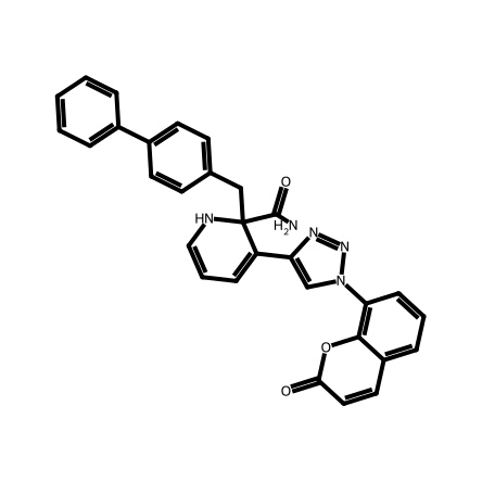 NC(=O)C1(Cc2ccc(-c3ccccc3)cc2)NC=CC=C1c1cn(-c2cccc3ccc(=O)oc23)nn1